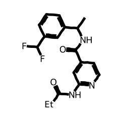 CCC(=O)Nc1cc(C(=O)NC(C)c2cccc(C(F)F)c2)ccn1